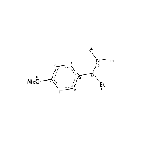 CCC(c1ccc(OC)cc1)N(C)C